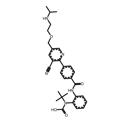 CC(C)NCCOCc1cnc(-c2ccc(C(=O)Nc3ccccc3N(C(=O)O)C(C)(C)C)cc2)c(C#N)c1